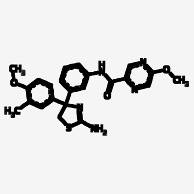 COc1cnc(C(=O)Nc2cccc(C3(c4ccc(OC)c(C)c4)CSC(N)=N3)c2)cn1